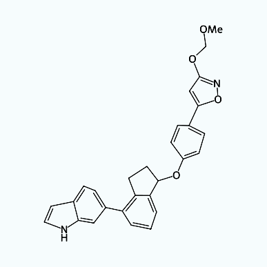 COCOc1cc(-c2ccc(OC3CCc4c(-c5ccc6cc[nH]c6c5)cccc43)cc2)on1